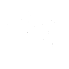 CC(C)CC(=O)N1CCC[C@H]1CS(=O)(=O)c1cccc(C(=O)O)c1